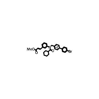 COC(=O)/C=C/c1cccc(N(CC23CCC(c4ccc(Br)cc4)(CC2)CC3)C(=O)C2CCCCC2)c1